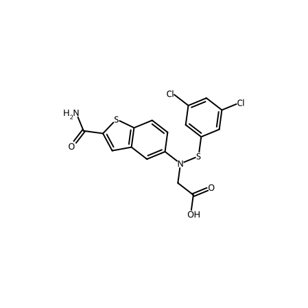 NC(=O)c1cc2cc(N(CC(=O)O)Sc3cc(Cl)cc(Cl)c3)ccc2s1